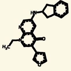 CCn1cc(-c2ccoc2)c(=O)c2cc(NC3Cc4ccccc4C3)cnc21